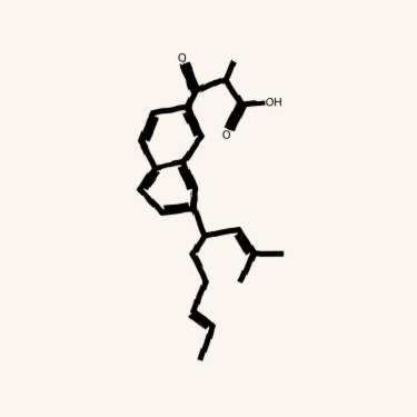 CC=CCCC(C=C(C)C)c1ccc2ccc(C(=O)C(C)C(=O)O)cc2c1